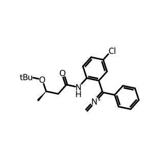 C=[N+]=C(c1ccccc1)c1cc(Cl)ccc1NC(=O)C[C@@H](C)OC(C)(C)C